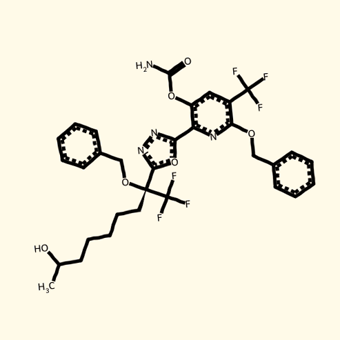 CC(O)CCCCC[C@@](OCc1ccccc1)(c1nnc(-c2nc(OCc3ccccc3)c(C(F)(F)F)cc2OC(N)=O)o1)C(F)(F)F